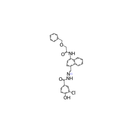 O=C(COCc1ccccc1)Nc1ccc(/C=N/NC(=O)c2ccc(O)c(Cl)c2)c2ccccc12